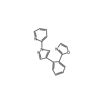 c1ccc(-n2cc(-c3ccccc3-c3ncco3)cn2)nc1